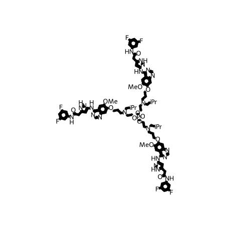 COc1cc2c(Nc3cc(CC(=O)Nc4cc(F)cc(F)c4)[nH]n3)ncnc2cc1OCCCN(CCOP(=O)(OCCN(CCCOc1cc2ncnc(Nc3cc(CC(=O)Nc4cc(F)cc(F)c4)[nH]n3)c2cc1OC)CC(C)C)OCCN(CCCOc1cc2ncnc(Nc3cc(CC(=O)Nc4cc(F)cc(F)c4)[nH]n3)c2cc1OC)CC(C)C)CC(C)C